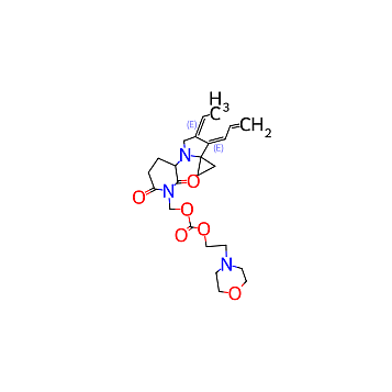 C=C/C=C1\C(=C/C)CN(C2CCC(=O)N(COC(=O)OCCN3CCOCC3)C2=O)C12CC2